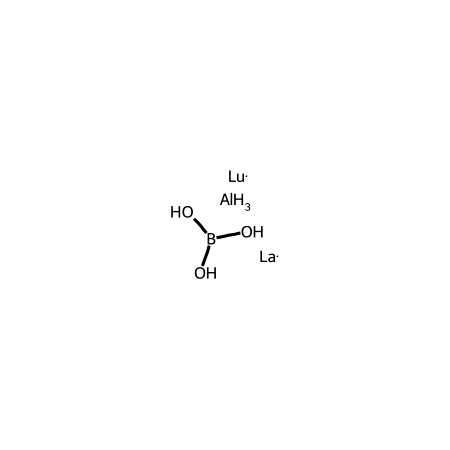 OB(O)O.[AlH3].[La].[Lu]